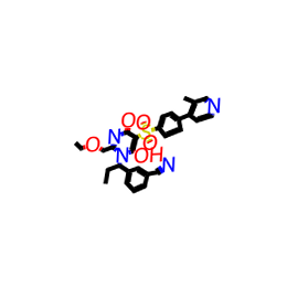 CCOCc1nc(=O)c(S(=O)(=O)c2ccc(-c3ccncc3C)cc2)c(O)n1C(CC)c1cccc(C#N)c1